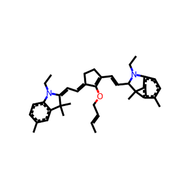 C/C=C/COC1=C(/C=C/C2N(CC)c3ccc(C)c4c3C42C)CC/C1=C\C=C1\N(CC)c2ccc(C)cc2C1(C)C